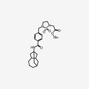 CC(C)(C)OC(=O)CN1CCN(Cc2ccc(C(=O)NC34CC5CCCC(C3)C(C5)C4)cc2)S1(=O)=O